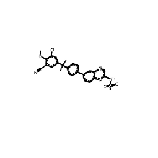 COc1c(Cl)cc(C(C)(C)c2ccc(-c3ccc4nc(NS(C)(=O)=O)cnc4c3)cc2)cc1C#N